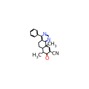 CC1C(=O)C(C#N)=C[C@@]2(C)c3ncnc(-c4ccccc4)c3CCC12